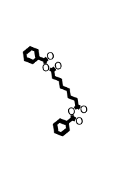 O=C(CCCCCCC(=O)OC(=O)c1ccccc1)OC(=O)c1ccccc1